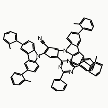 Cc1ccccc1-c1ccc2c(c1)c1cc(-c3ccccc3C)ccc1n2-c1cc(-c2nc(-c3ccccc3)nc(-c3ccccc3)n2)c(-n2c3ccc(-c4ccccc4C)cc3c3cc(-c4ccccc4C)ccc32)cc1C#N